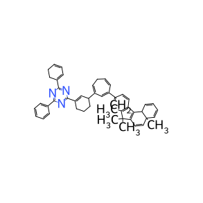 C=C(/C=C\C1=C(C)C(C)(C)C2=C1C1C=CC=CC1(C)C=C2)C1=CC(C2C=C(c3nc(C4=CC=CCC4)nc(-c4ccccc4)n3)CCC2)=CCC=C1